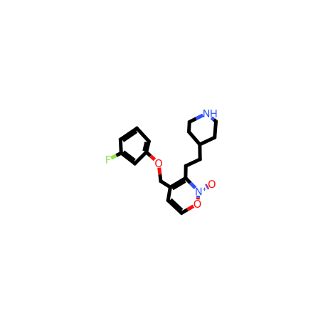 O=[n+]1occc(COc2cccc(F)c2)c1CCC1CCNCC1